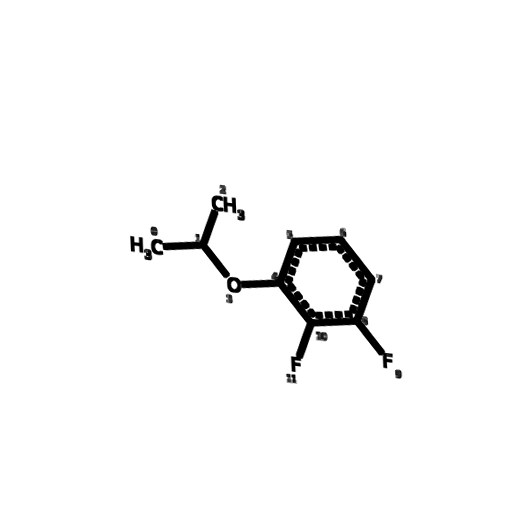 CC(C)Oc1cccc(F)c1F